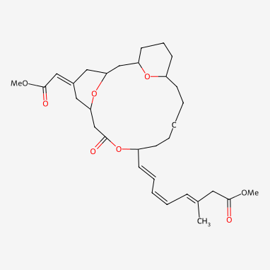 COC(=O)/C=C1\CC2CC(=O)OC(/C=C/C=C\C=C(/C)CC(=O)OC)CCCCCC3CCCC(CC(C1)O2)O3